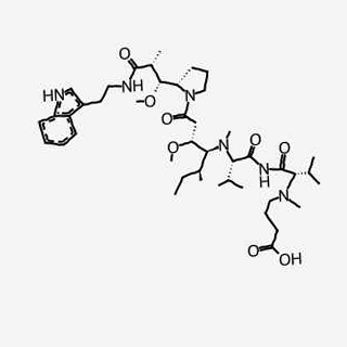 CC[C@H](C)[C@@H]([C@@H](CC(=O)N1CCC[C@H]1[C@H](OC)[C@@H](C)C(=O)NCCc1c[nH]c2ccccc12)OC)N(C)[C@H](C(=O)NC(=O)[C@H](C(C)C)N(C)CCCC(=O)O)C(C)C